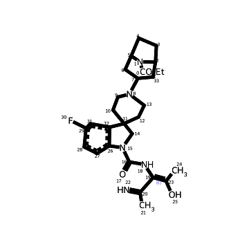 CCOC(=O)N1C2CCC1CC(N1CCC3(CC1)CN(C(=O)N/C(C(C)=N)=C(\C)O)c1ccc(F)cc13)C2